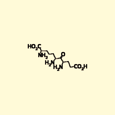 NC(CCCC(N)C(=O)C(N)CCC(=O)O)C(=O)O